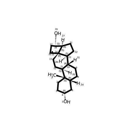 C[C@]12CC[C@@H](O)C[C@H]1CC[C@@H]1[C@@H]2CC[C@@]23C=CC[C@H](O)[C@H]2CC[C@@H]13